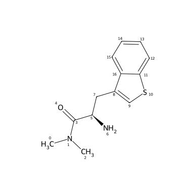 CN(C)C(=O)[C@H](N)Cc1csc2ccccc12